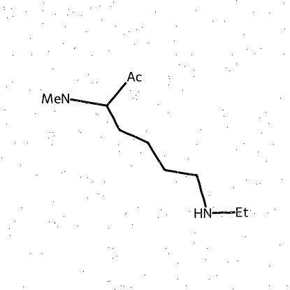 CCNCCCCC(NC)C(C)=O